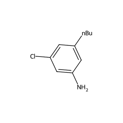 CCCCc1cc(N)cc(Cl)c1